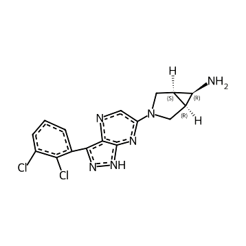 N[C@H]1[C@H]2CN(c3cnc4c(-c5cccc(Cl)c5Cl)n[nH]c4n3)C[C@@H]12